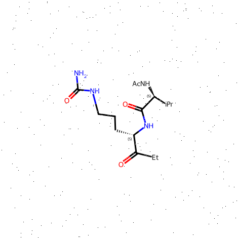 CCC(=O)[C@H](CCCNC(N)=O)NC(=O)[C@@H](NC(C)=O)C(C)C